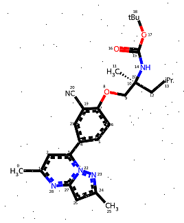 Cc1cc(-c2ccc(OC[C@](C)(CC(C)C)NC(=O)OC(C)(C)C)c(C#N)c2)n2nc(C)cc2n1